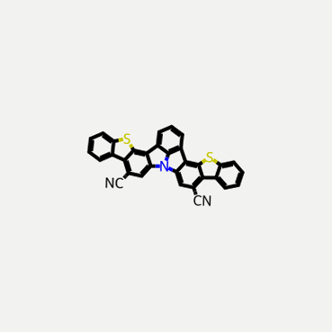 N#Cc1cc2c(c3cccc4c5c6sc7ccccc7c6c(C#N)cc5n2c34)c2sc3ccccc3c12